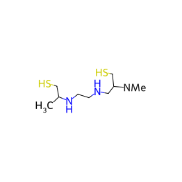 CNC(CS)CNCCNC(C)CS